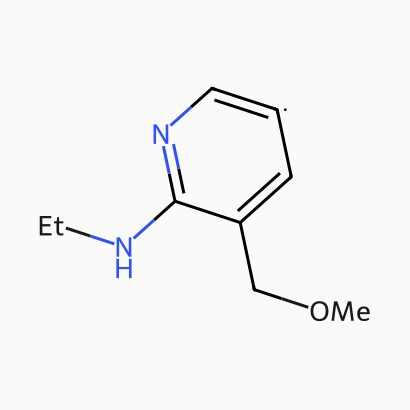 CCNc1nc[c]cc1COC